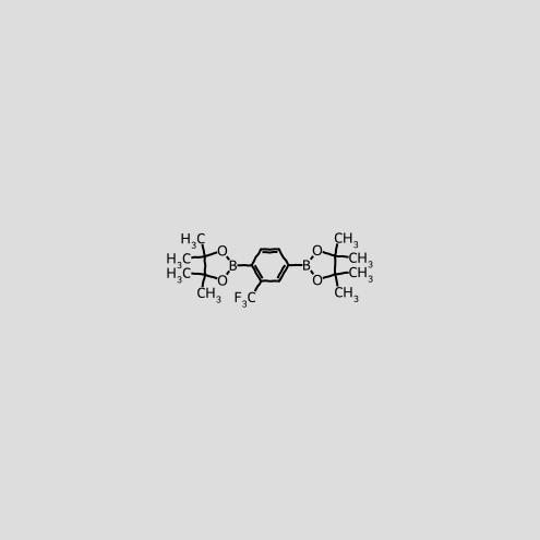 CC1(C)OB(c2ccc(B3OC(C)(C)C(C)(C)O3)c(C(F)(F)F)c2)OC1(C)C